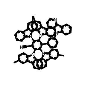 Cc1ccc2c(c1)c1ccccc1n2-c1c(C#N)c(-n2c3ccccc3c3cc(C)ccc32)c(-n2c3ccccc3c3cc(C)ccc32)c(-c2cccc(-n3c4ccccc4c4ncccc43)c2)c1-n1c2ccccc2c2cc(C)ccc21